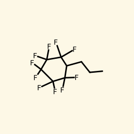 CCCC1C(F)(F)C(F)(F)C(F)(F)C(F)(F)C1(F)F